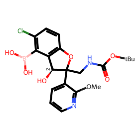 COc1ncccc1C1(CNC(=O)OC(C)(C)C)Oc2ccc(Cl)c(B(O)O)c2[C@@H]1O